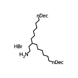 Br.CCCCCCCCCCCCCCCCC(CCN)CCCCCCCCCCCCCCCC